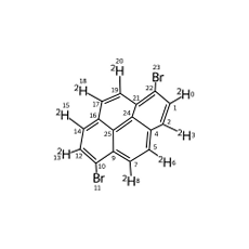 [2H]c1c([2H])c2c([2H])c([2H])c3c(Br)c([2H])c([2H])c4c([2H])c([2H])c(c1Br)c2c43